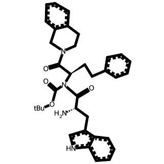 CC(C)(C)OC(=O)N(C(=O)[C@@H](N)Cc1c[nH]c2ccccc12)[C@H](CCc1ccccc1)C(=O)N1CCc2ccccc2C1